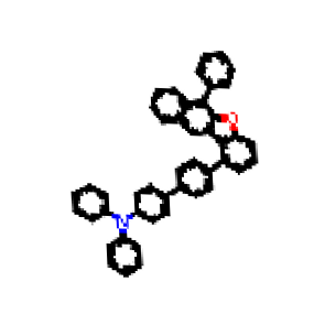 c1ccc(-c2c3ccccc3cc3c2oc2cccc(-c4ccc(-c5ccc(N(c6ccccc6)c6ccccc6)cc5)cc4)c23)cc1